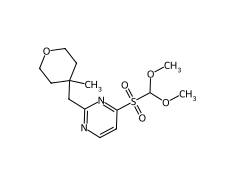 COC(OC)S(=O)(=O)c1ccnc(CC2(C)CCOCC2)n1